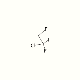 FCC(F)(Cl)I